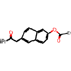 CCC(=O)Oc1ccc2cc(CC(=O)C(C)C)ccc2c1